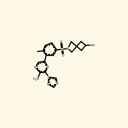 Cc1ccc(S(=O)(=O)N2CC3(CC(O)C3)C2)cc1-c1cnc(N)c(-n2cncn2)n1